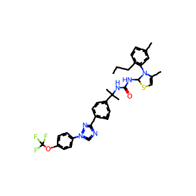 CCCc1ccc(C)cc1N1C(C)=CSC1NC(=O)NC(C)(C)c1ccc(-c2ncn(-c3ccc(OC(F)(F)F)cc3)n2)cc1